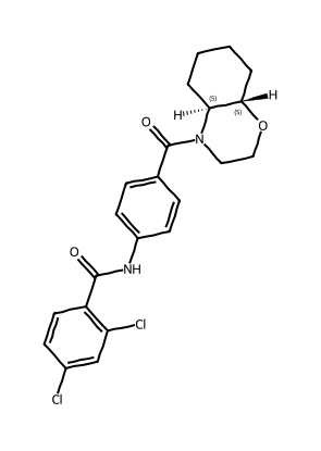 O=C(Nc1ccc(C(=O)N2CCO[C@H]3CCCC[C@@H]32)cc1)c1ccc(Cl)cc1Cl